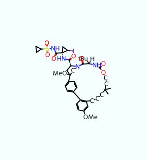 COc1ccc2c(c1)CCCC(C)(C)CCOC(=O)N[C@@H](C(C)(C)C)C(=O)N1C[C@@](OC)(C[C@H]1C(=O)N[C@]1(C(=O)NS(=O)(=O)C3CC3)C[C@H]1I)c1ccc-2cc1